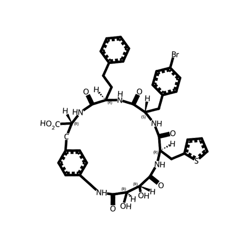 O=C1N[C@H](CCc2ccccc2)C(=O)N[C@@H](C(=O)O)Cc2ccc(cc2)NC(=O)[C@H](O)[C@@H](O)C(=O)N[C@H](Cc2cccs2)C(=O)N[C@H]1Cc1ccc(Br)cc1